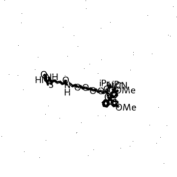 COc1ccc(C(OCC(COCCOCCOCCOCCCNC(=O)CCCCC2SCC3NC(=O)NC32)OP(OCCC#N)N(C(C)C)C(C)C)(c2ccccc2)c2ccc(OC)cc2)cc1